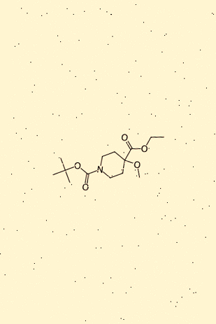 CCOC(=O)C1(OC)CCN(C(=O)OC(C)(C)C)CC1